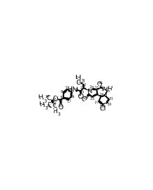 CCC(C(=O)Nc1ccc(C(=O)OC(C)(C)C)cc1)n1cc2c(cc1=O)-c1cc(Cl)ccc1CNC2=O